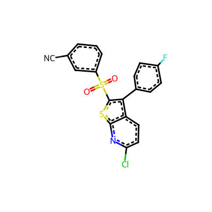 N#Cc1cccc(S(=O)(=O)c2sc3nc(Cl)ccc3c2-c2ccc(F)cc2)c1